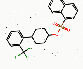 O=S(=O)(OC1CCC(c2ccccc2C(F)(F)F)CC1)c1cccc2ccccc12